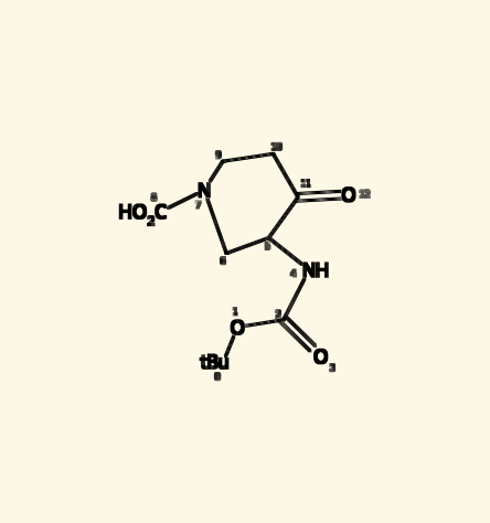 CC(C)(C)OC(=O)NC1CN(C(=O)O)CCC1=O